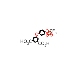 O=C(O)c1cc(Oc2ccc(OS(=O)(=O)C(F)(F)F)cc2)cc(C(=O)O)c1